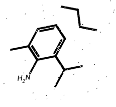 CCCC.Cc1cccc(C(C)C)c1N